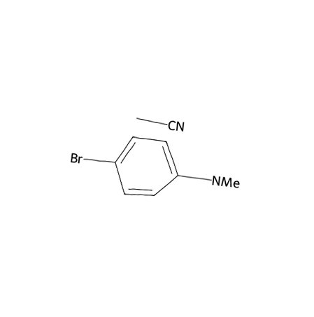 CC#N.CNc1ccc(Br)cc1